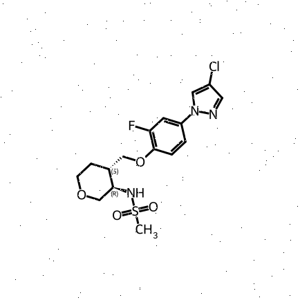 CS(=O)(=O)N[C@H]1COCC[C@@H]1COc1ccc(-n2cc(Cl)cn2)cc1F